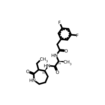 CCC1C(=O)NCCC[C@@H]1NC(=O)[C@H](C)NC(=O)Cc1cc(F)cc(F)c1